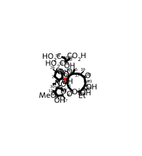 CC[C@H]1OC(=O)[C@H](C)[C@@H](O[C@H]2C[C@@](C)(OC)[C@@H](O)[C@H](C)O2)C(C)[C@@H](O[C@@H]2O[C@H](C)C[C@H](N(C)C)[C@H]2O)[C@](C)(OC)C[C@@H](C)C(=O)[C@H](C)[C@@H](O)[C@]1(C)O.O=C(O)CC(O)(CC(=O)O)C(=O)O